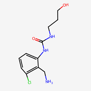 NCc1c(Cl)cccc1NC(=O)NCCCO